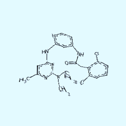 Cc1cc(Nc2cc(NC(=O)c3c(Cl)cccc3Cl)ccn2)nc(N(C)C)n1